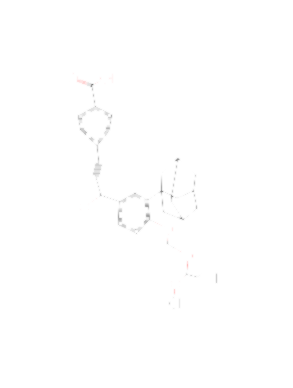 COC(C)OCOc1ccc(C(O)C#Cc2ccc(C(=O)O)cc2)cc1C12CC3CC(CC(C3)C1)C2